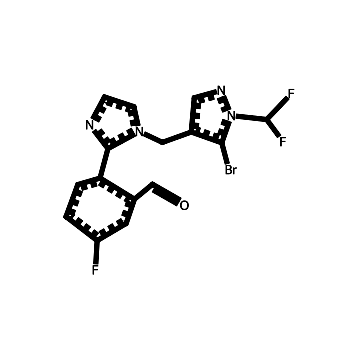 O=Cc1cc(F)ccc1-c1nccn1Cc1cnn(C(F)F)c1Br